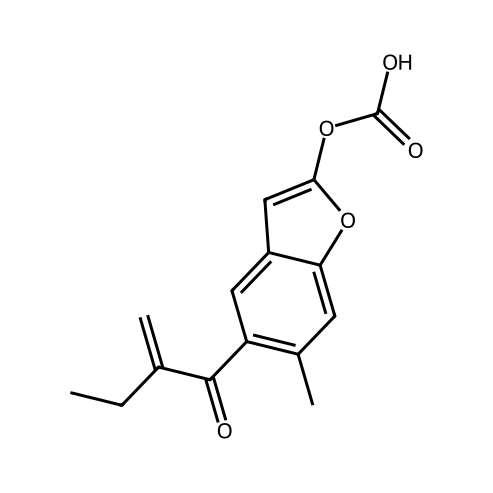 C=C(CC)C(=O)c1cc2cc(OC(=O)O)oc2cc1C